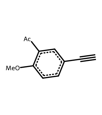 C#Cc1ccc(OC)c(C(C)=O)c1